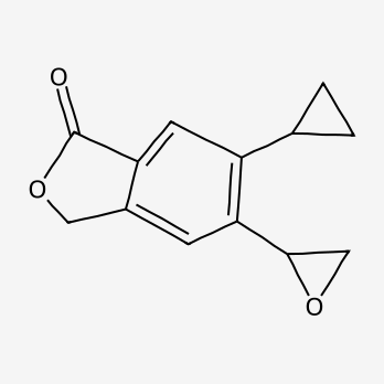 O=C1OCc2cc(C3CO3)c(C3CC3)cc21